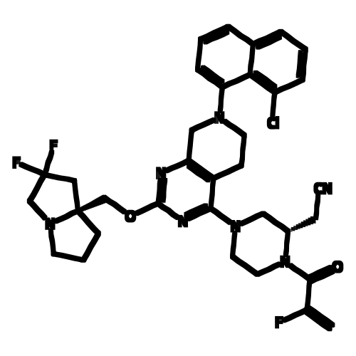 C=C(F)C(=O)N1CCN(c2nc(OC[C@@]34CCCN3CC(F)(F)C4)nc3c2CCN(c2cccc4cccc(Cl)c24)C3)C[C@@H]1CC#N